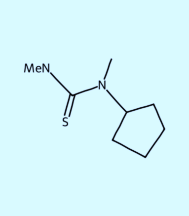 CNC(=S)N(C)C1CCCC1